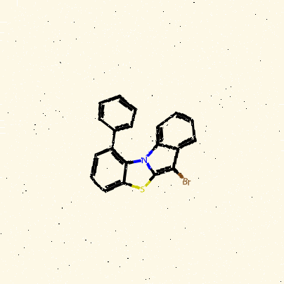 Brc1c2ccccc2n2c1sc1cccc(-c3ccccc3)c12